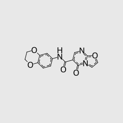 O=C(Nc1ccc2c(c1)OCCO2)c1cnc2occn2c1=O